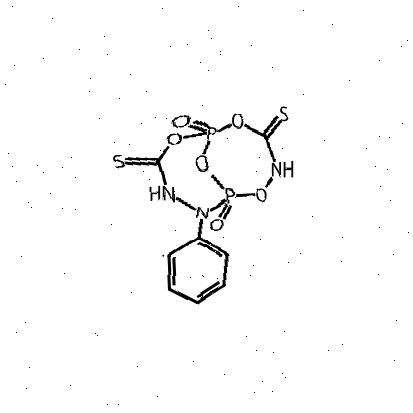 O=P12OC(=S)NOP(=O)(O1)N(c1[c]cccc1)NC(=S)O2